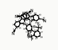 N#Cc1ccc2c3ccc(C#N)cc3n(-c3cc(C#N)c(-c4c(C(F)(F)F)cccc4C(F)(F)F)cc3-n3c4cc(C#N)ccc4c4ccc(C#N)cc43)c2c1